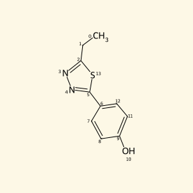 CCc1nnc(-c2ccc(O)cc2)s1